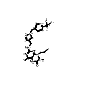 CCCN1c2nc(NCc3cnn(Cc4ccc(C(F)(F)F)nc4)c3)nc(C)c2NC(=O)[C@@H]1C